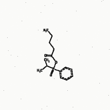 CCCCC(=O)OP(=O)(c1ccccc1)C(C)C